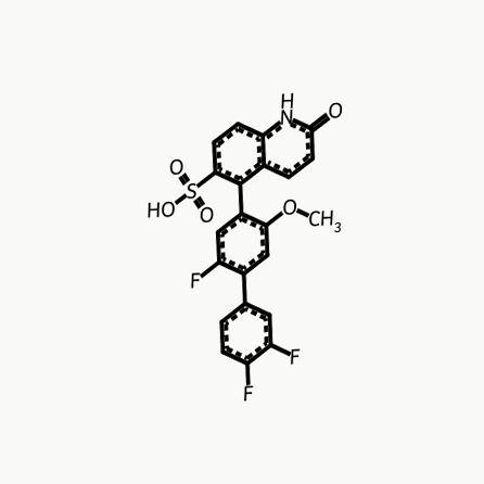 COc1cc(-c2ccc(F)c(F)c2)c(F)cc1-c1c(S(=O)(=O)O)ccc2[nH]c(=O)ccc12